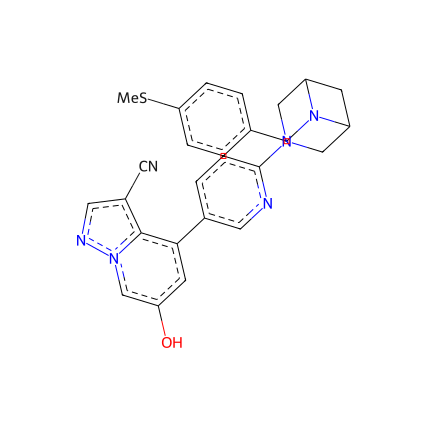 CSc1ccc(CN2C3CC2CN(c2ccc(-c4cc(O)cn5ncc(C#N)c45)cn2)C3)cc1